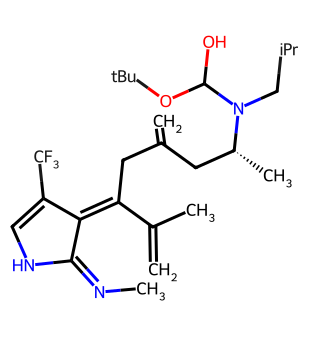 C=C(C/C(C(=C)C)=C1\C(C(F)(F)F)=CN\C1=N\C)C[C@@H](C)N(CC(C)C)C(O)OC(C)(C)C